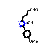 COc1ccc(-c2nnc(CCCC=O)n2C)cc1